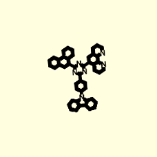 c1ccc2c(c1)cc(-c1nc(-c3ccc(-n4c5ccccc5c5ccccc54)cc3)nc(-c3cc4cccnc4c4ncccc34)n1)c1ccccc12